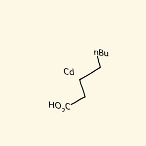 CCCCCCCC(=O)O.[Cd]